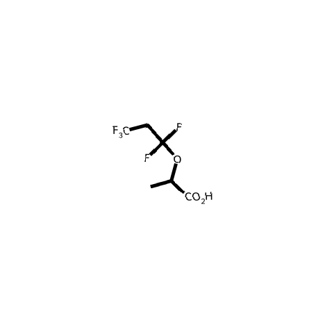 CC(OC(F)(F)CC(F)(F)F)C(=O)O